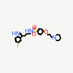 O=S(=O)(NCCCc1c[nH]c2ccc(F)cc12)c1ccc(OCCCN2CCCCC2)cc1